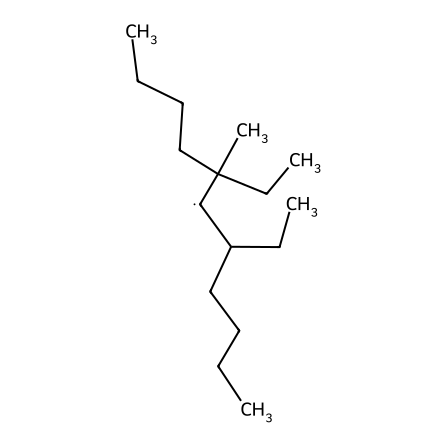 CCCCC([CH]C(C)(CC)CCCC)CC